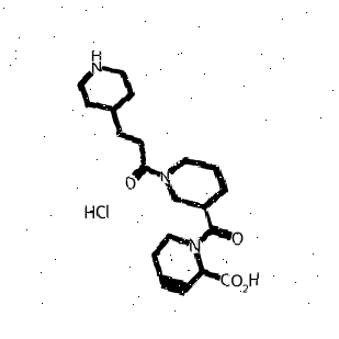 Cl.O=C(O)C1C#CCCN1C(=O)[C@@H]1CCCN(C(=O)CCC2CCNCC2)C1